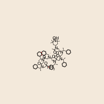 CC(=O)N(CC(=O)N(CC(=O)N(CC(=O)N(CC(=O)N(CC(=O)N(CC(=O)N(CC(N)=O)[C@@H](C)c1ccccc1)[C@@H](C)c1ccccc1)[C@@H](C)c1ccccc1)[C@@H](C)c1ccccc1)[C@@H](C)c1ccccc1)[C@@H](C)c1ccccc1)C1CC(C)(C)N(O)C(C)(C)C1